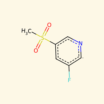 CS(=O)(=O)c1cn[c]c(F)c1